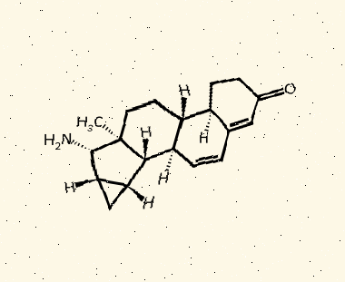 C[C@]12CC[C@H]3[C@@H](C=CC4=CC(=O)CC[C@@H]43)[C@@H]1[C@@H]1C[C@@H]1[C@@H]2N